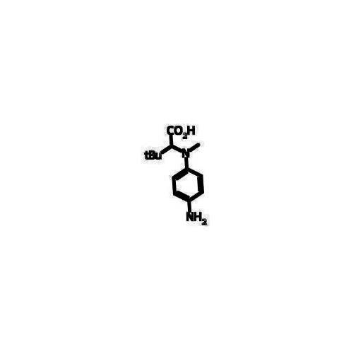 CN(c1ccc(N)cc1)C(C(=O)O)C(C)(C)C